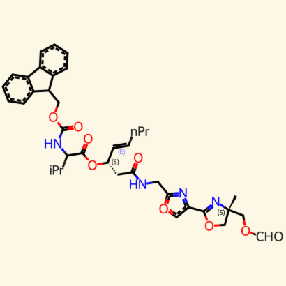 CCC/C=C/[C@H](CC(=O)NCc1nc(C2=N[C@](C)(COC=O)CO2)co1)OC(=O)C(NC(=O)OCC1c2ccccc2-c2ccccc21)C(C)C